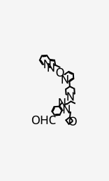 CC(c1nc2ccc(C=O)cc2n1CC1CCO1)N1CCC(c2cccc(OCc3cc4ccccn4n3)n2)CC1